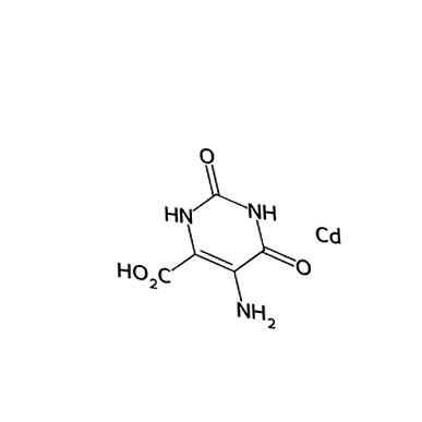 Nc1c(C(=O)O)[nH]c(=O)[nH]c1=O.[Cd]